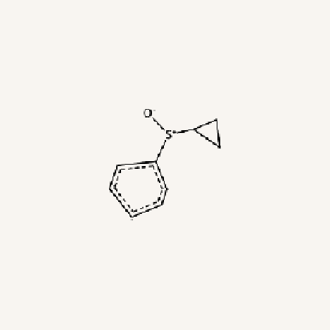 [O-][S+](c1cc[c]cc1)C1CC1